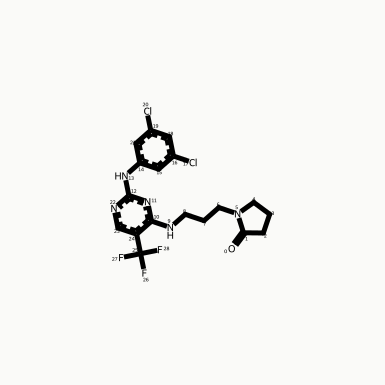 O=C1CCCN1CCCNc1nc(Nc2cc(Cl)cc(Cl)c2)ncc1C(F)(F)F